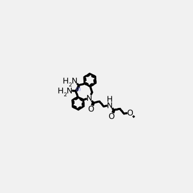 COCCC(=O)NCCC(=O)N1Cc2ccccc2/C(N)=C(/N)c2ccccc21